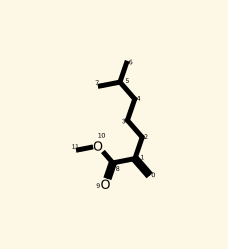 C=C(CCCC(C)C)C(=O)OC